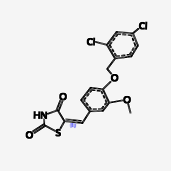 COc1cc(/C=C2/SC(=O)NC2=O)ccc1OCc1ccc(Cl)cc1Cl